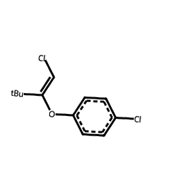 CC(C)(C)C(=CCl)Oc1ccc(Cl)cc1